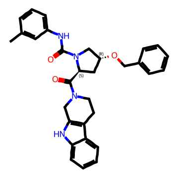 Cc1cccc(NC(=O)N2C[C@H](OCc3ccccc3)C[C@H]2C(=O)N2CCc3c([nH]c4ccccc34)C2)c1